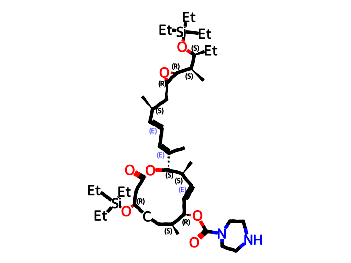 CC[C@H](O[Si](CC)(CC)CC)[C@@H](C)[C@H]1O[C@@H]1C[C@H](C)/C=C/C=C(\C)[C@H]1OC(=O)C[C@H](O[Si](CC)(CC)CC)CC[C@H](C)[C@@H](OC(=O)N2CCNCC2)/C=C/[C@@H]1C